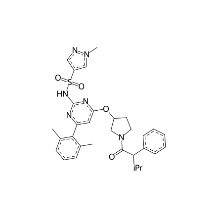 Cc1cccc(C)c1-c1cc(OC2CCN(C(=O)C(c3ccccc3)C(C)C)C2)nc(NS(=O)(=O)c2cnn(C)c2)n1